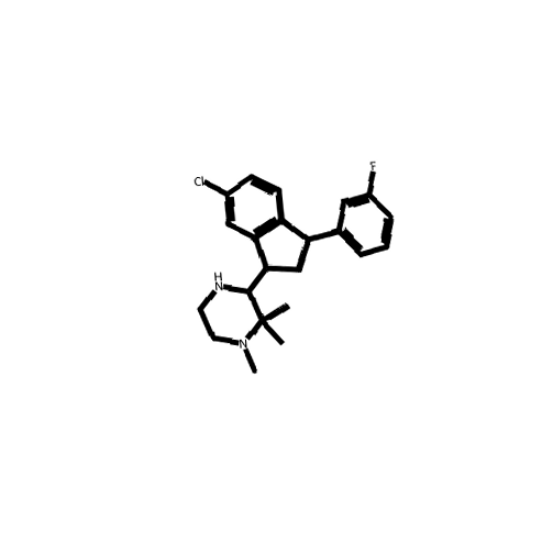 CN1CCNC(C2CC(c3cccc(F)c3)c3ccc(Cl)cc32)C1(C)C